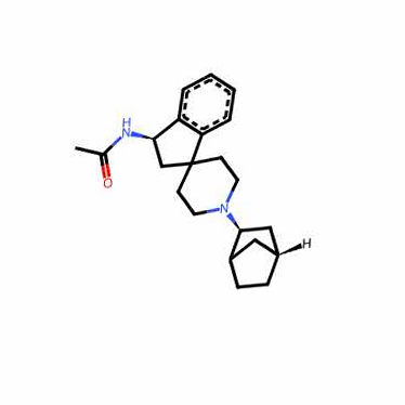 CC(=O)N[C@@H]1CC2(CCN([C@H]3C[C@@H]4CCC3C4)CC2)c2ccccc21